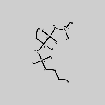 CCCC[Si](C)(C)O[C@@](C)(CC)[Si](C)(C)O[SiH](C)C